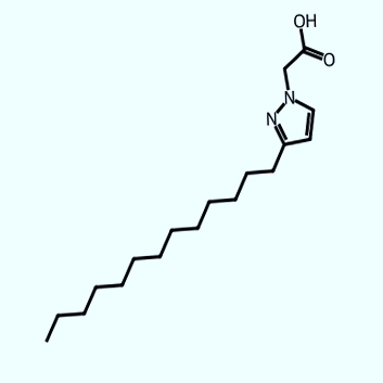 CCCCCCCCCCCCCc1ccn(CC(=O)O)n1